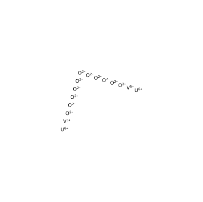 [O-2].[O-2].[O-2].[O-2].[O-2].[O-2].[O-2].[O-2].[O-2].[O-2].[O-2].[U+6].[U+6].[V+5].[V+5]